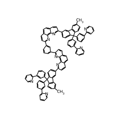 Cc1ccc2c(c1)-c1cc(-c3ccc4ccc5ccc(-c6cccc(-c7ccc8ccc9ccc(-c%10ccc%11c(c%10)-c%10cc(C)ccc%10C%11(c%10cccc(-c%11ccccn%11)c%10)c%10cccc(-c%11ccccn%11)c%10)nc9c8n7)c6)nc5c4n3)ccc1C2(c1cccc(-c2ccccn2)c1)c1cccc(-c2ccccn2)c1